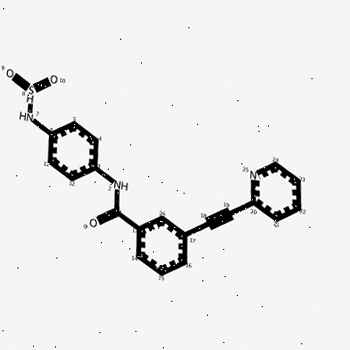 O=C(Nc1ccc(N[SH](=O)=O)cc1)c1cccc(C#Cc2ccccn2)c1